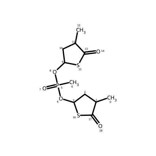 CC1CC(OP(C)(=O)OC2CC(C)C(=O)S2)SC1=O